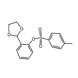 Cc1ccc(S(=O)(=O)Oc2ccccc2C2OCCO2)cc1